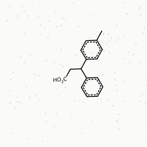 Cc1ccc(C(CC(=O)O)c2ccccc2)cc1